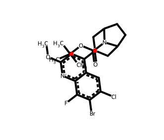 COc1nc(N2CC3CCC(C2)N3C(=O)OC(C)(C)C)c2cc(Cl)c(Br)c(F)c2n1